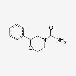 NC(=O)N1CCOC(c2ccccc2)C1